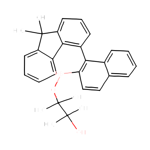 CC1(C)c2ccccc2-c2c(-c3c(BOC(C)(C)C(C)(C)O)ccc4ccccc34)cccc21